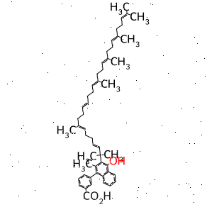 CC(C)=CCC/C(C)=C/CC/C(C)=C/CC/C(C)=C/CC/C=C/CC/C(C)=C/CC/C=C/C(C)(C)c1c(C)c(-c2cccc(C(=O)O)c2)c2ccccc2c1O